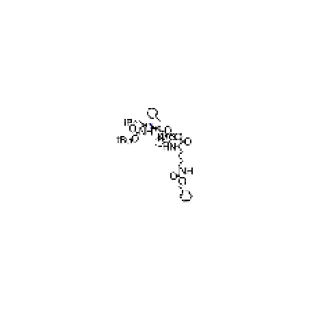 COC(=O)C(CCCCNC(=O)OCc1ccccc1)NC(=O)C1CCCN1C(=O)[C@H](/C=C/[C@H](CC(C)C)NC(=O)OC(C)(C)C)Cc1ccccc1